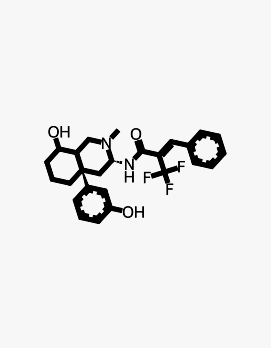 CN1CC2C(O)CCC[C@@]2(c2cccc(O)c2)C[C@H]1NC(=O)C(=Cc1ccccc1)C(F)(F)F